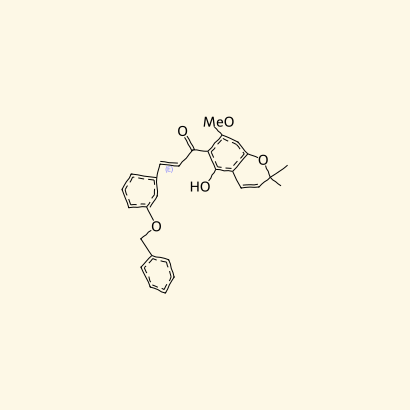 COc1cc2c(c(O)c1C(=O)/C=C/c1cccc(OCc3ccccc3)c1)C=CC(C)(C)O2